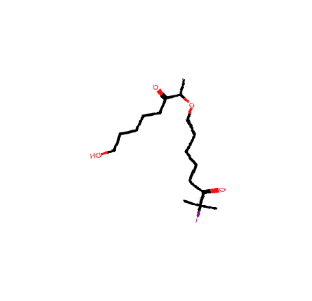 CC(OCCCCCC(=O)C(C)(C)I)C(=O)CCCCCO